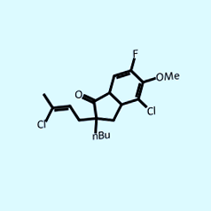 CCCCC1(C/C=C(/C)Cl)CC2C(Cl)=C(OC)C(F)=CC2C1=O